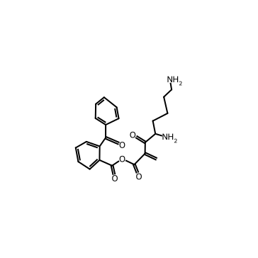 C=C(C(=O)OC(=O)c1ccccc1C(=O)c1ccccc1)C(=O)C(N)CCCCN